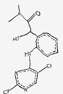 CN(C)C(=O)C(O)c1ccccc1Nc1nc(Cl)ncc1Cl